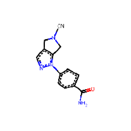 N#CN1Cc2cnn(-c3ccc(C(N)=O)cc3)c2C1